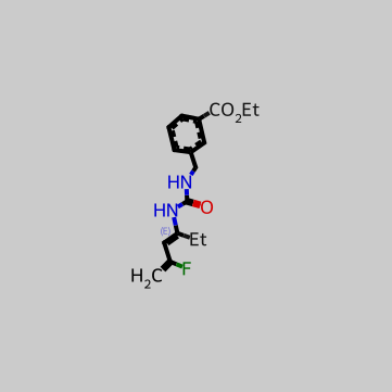 C=C(F)/C=C(\CC)NC(=O)NCc1cccc(C(=O)OCC)c1